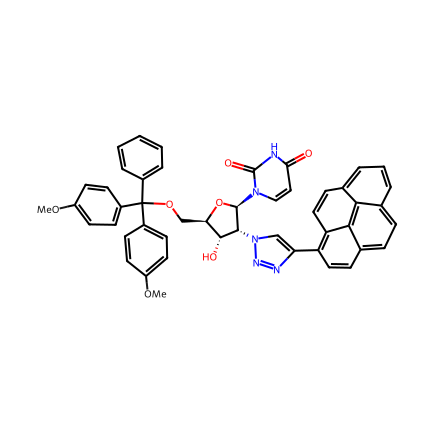 COc1ccc(C(OC[C@H]2O[C@@H](n3ccc(=O)[nH]c3=O)[C@H](n3cc(-c4ccc5ccc6cccc7ccc4c5c67)nn3)[C@@H]2O)(c2ccccc2)c2ccc(OC)cc2)cc1